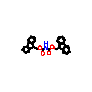 O=C(NC(=O)OCC1c2ccccc2-c2ccccc21)OCC1c2ccccc2-c2ccccc21